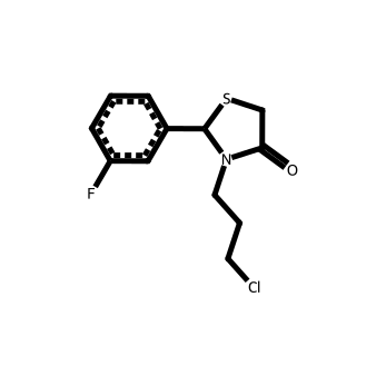 O=C1CSC(c2cccc(F)c2)N1CCCCl